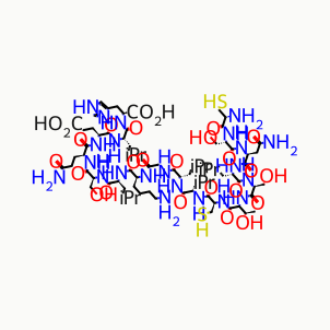 CC(C)C[C@H](NC(=O)[C@H](CCC(=O)O)NC(=O)[C@H](CCC(N)=O)NC(=O)[C@H](CO)NC(=O)[C@H](CC(C)C)NC(=O)[C@H](CCCCN)NC(=O)CNC(=O)[C@H](CC(C)C)NC(=O)[C@@H](NC(=O)[C@H](CS)NC(=O)[C@@H](NC(=O)[C@H](CO)NC(=O)[C@H](CC(C)C)NC(=O)[C@H](CC(N)=O)NC(=O)[C@H](CO)NC(=O)[C@@H](N)CS)[C@@H](C)O)C(C)C)C(=O)N[C@@H](Cc1c[nH]cn1)C(=O)O